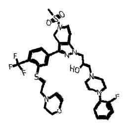 CS(=O)(=O)N1CCc2c(c(-c3ccc(C(F)(F)F)c(SCCN4CCOCC4)c3)nn2CC(O)CN2CCN(c3ccccc3F)CC2)C1